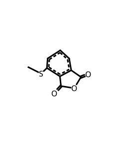 CSc1cccc2c1C(=O)OC2=O